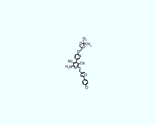 CC1(C)OC[C@H](COc2ccc(-c3c(C#N)c(N)nc(SCc4coc(-c5ccc(Cl)cc5)n4)c3C#N)cn2)O1